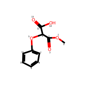 COC(=O)C(Oc1ccccc1)C(=O)O